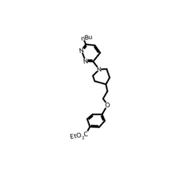 CCCCc1ccc(N2CCC(CCOc3ccc(C(=O)OCC)cc3)CC2)nn1